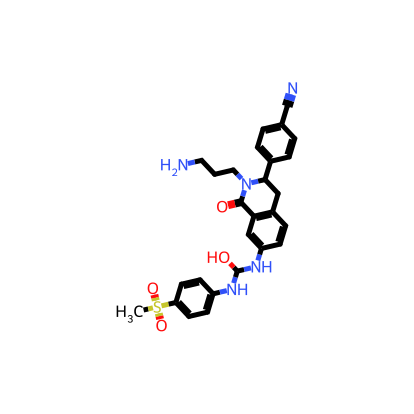 CS(=O)(=O)c1ccc(NC(O)Nc2ccc3c(c2)C(=O)N(CCCN)C(c2ccc(C#N)cc2)C3)cc1